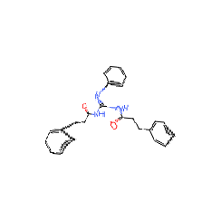 O=C(CCc1ccccc1)NC(=Nc1ccccc1)NC(=O)CCc1ccccc1